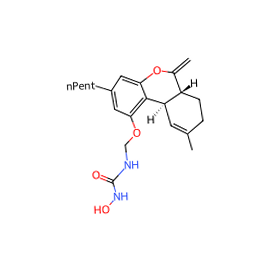 C=C1Oc2cc(CCCCC)cc(OCNC(=O)NO)c2[C@@H]2C=C(C)CC[C@@H]12